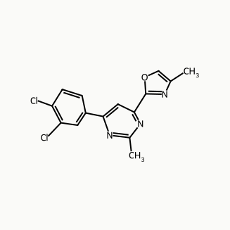 Cc1coc(-c2cc(-c3ccc(Cl)c(Cl)c3)nc(C)n2)n1